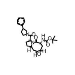 CC(C)(C)OC(=O)N[C@H]1C[C@@H]2O[C@@H]2C[C@H]2CC[C@@H](C(=O)N3CCC(c4ccccc4)C3)N2C1=O